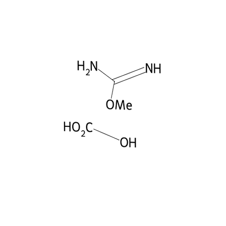 COC(=N)N.O=C(O)O